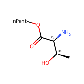 CCCCCOC(=O)[C@@H](N)[C@@H](C)O